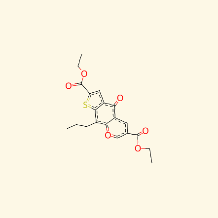 CCCc1c2occ(C(=O)OCC)cc-2c(=O)c2cc(C(=O)OCC)sc12